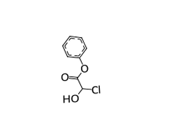 O=C(Oc1ccccc1)C(O)Cl